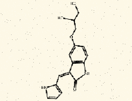 O=C1Nc2ccc(OCC(O)CO)cc2C1=Cc1ccc[nH]1